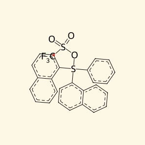 O=S(=O)(OS(c1ccccc1)(c1cccc2ccccc12)c1cccc2ccccc12)C(F)(F)F